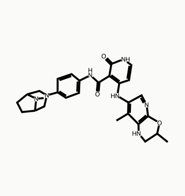 Cc1c(Nc2cc[nH]c(=O)c2C(=O)Nc2ccc(N3CC4CCC(C3)N4C)cc2)cnc2c1NCC(C)O2